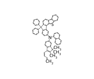 C=C/C=C\C1=C(C)C(C)(C)c2cc(N(c3ccc4c(c3)-c3c(ccc5c3sc3ccccc35)C4(c3ccccc3)c3ccccc3)c3cccc4ccccc34)ccc21